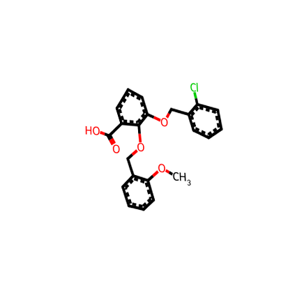 COc1ccccc1COc1c(OCc2ccccc2Cl)cccc1C(=O)O